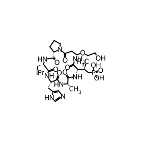 CC(C)C[C@H](NC(=O)[C@@H]1CCCN1C(=O)CCOCCO)C(=O)N[C@@H](Cc1cnc[nH]1)C(=O)N[C@@H](C)C(=O)N[C@H](C(N)=O)[C@@H](C)CP(=O)(O)O